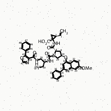 C=C[C@@H]1C[C@]1(NC(=O)[C@@H]1C[C@@H](Oc2cc(-c3ccccc3)nc3cc(OC)ccc23)CN1C(=O)NC(CNC(=O)c1ncoc1-c1ccccc1)CC(C)C)C(=O)O